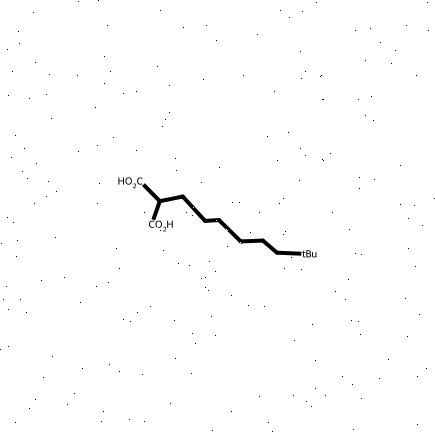 CC(C)(C)CCCCCCC(C(=O)O)C(=O)O